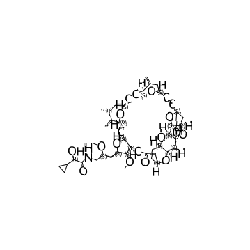 C=C1C[C@@H]2CC[C@@]34C[C@H]5OC6[C@@H](O[C@H]7CC[C@H](CC(=O)C[C@@H]8[C@@H](OC)[C@@H](C[C@@H](CNC(=O)[C@H](O)C9CC9)OC)O[C@H]8C[C@H]8O[C@@H](CC[C@@H]1O2)C[C@@H](C)C8=C)O[C@@H]7[C@@H]6O3)[C@H]5O4